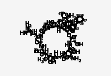 CC[C@H](C)[C@@H]1NC(=O)[C@@H](CCCNC(=N)N)NC(=O)[C@H](CC(C)C)NC(=O)[C@H]([C@H](O)C(C)C)NC(=O)[C@@H](NC(=O)[C@H](Cc2ccccc2)NC(=O)[C@H](N)CC(C)C)[C@@H](c2ccccc2)OC(=O)[C@H](CO)NC(=O)[C@H]([C@H](O)C(N)=O)NC(=O)CNC(=O)[C@H]([C@H](C)O)NC1=O